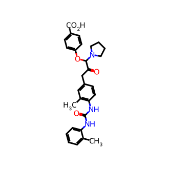 Cc1ccccc1NC(=O)Nc1ccc(CC(=O)C(Oc2ccc(C(=O)O)cc2)N2CCCC2)cc1C